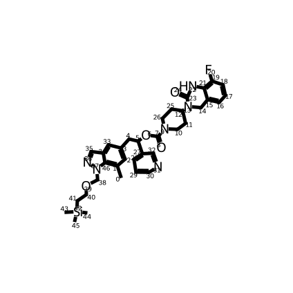 Cc1cc(CC(OC(=O)N2CCC(N3Cc4cccc(F)c4NC3=O)CC2)c2cccnc2)cc2cnn(COCC[Si](C)(C)C)c12